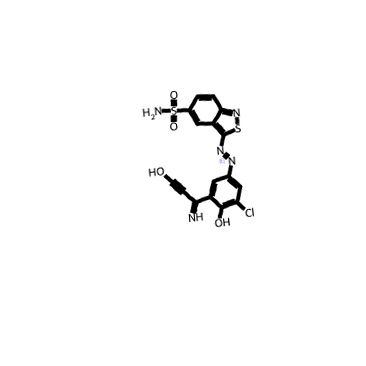 N=C(C#CO)c1cc(/N=N/c2snc3ccc(S(N)(=O)=O)cc23)cc(Cl)c1O